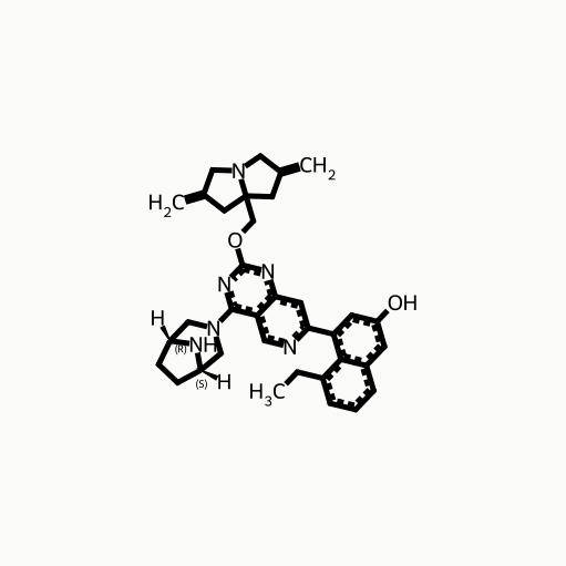 C=C1CN2CC(=C)CC2(COc2nc(N3C[C@H]4CC[C@@H](C3)N4)c3cnc(-c4cc(O)cc5cccc(CC)c45)cc3n2)C1